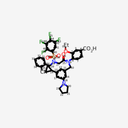 CCOc1cc(C(=O)O)ccc1N(Cc1cc(C2CC2)cc(N2CCCC2)c1)C(=O)CN(Cc1ccccc1C#N)S(=O)(=O)c1cc(F)c(F)c(F)c1F